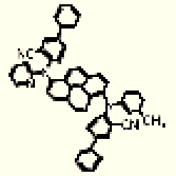 CC1C=C(N(c2ccc(-c3ccccc3)cc2C#N)c2ccc3ccc4c(N(c5ccccn5)c5ccc(-c6ccccc6)cc5C#N)ccc5ccc2c3c54)C=CC1